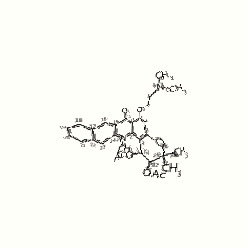 CC(=O)O[C@H]1c2c(cc(OCCN(C)C)c3c(=O)c4cc5ccccc5cc4n(C)c23)OC(C)(C)[C@H]1OC(C)=O